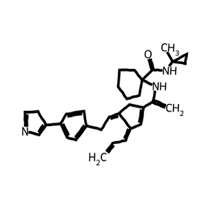 C=C/C=C1/C=C(C(=C)NC2(C(=O)NC3(C)CC3)CCCCC2)C/C1=C/Cc1ccc(C2=CN=CC2)cc1